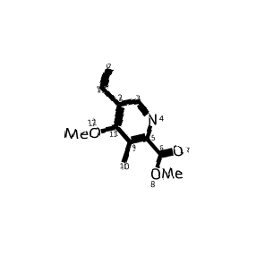 C=Cc1cnc(C(=O)OC)c(C)c1OC